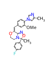 COc1cc(/C=C2/OCCN3C2=NO[C@]3(C)c2ccc(F)cc2)ccc1-n1cnc(C)c1